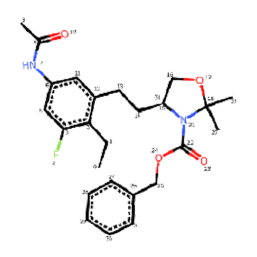 CCc1c(F)cc(NC(C)=O)cc1CC[C@H]1COC(C)(C)N1C(=O)OCc1ccccc1